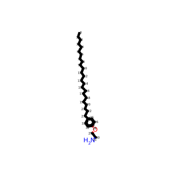 CCCCCCCCCCCCCCCCCCCCCCCCc1ccc(OCCN)cc1